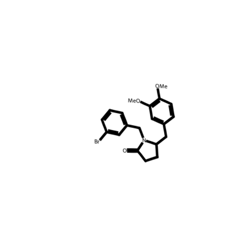 COc1ccc(CC2CCC(=O)N2Cc2cccc(Br)c2)cc1OC